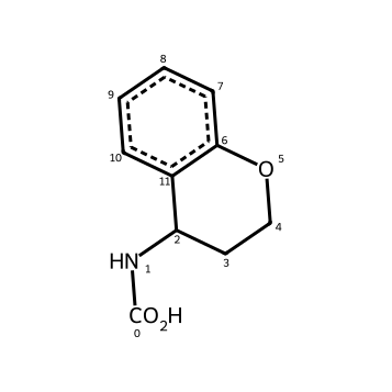 O=C(O)NC1CCOc2ccccc21